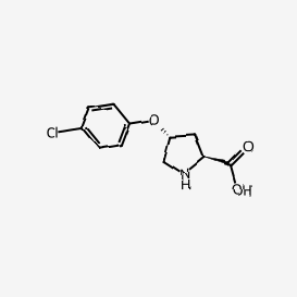 O=C(O)[C@@H]1C[C@@H](Oc2ccc(Cl)cc2)CN1